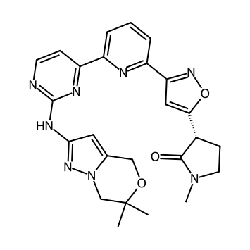 CN1CC[C@@H](c2cc(-c3cccc(-c4ccnc(Nc5cc6n(n5)CC(C)(C)OC6)n4)n3)no2)C1=O